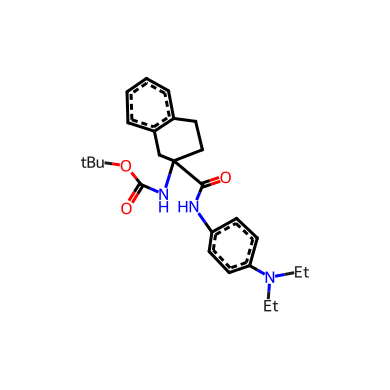 CCN(CC)c1ccc(NC(=O)C2(NC(=O)OC(C)(C)C)CCc3ccccc3C2)cc1